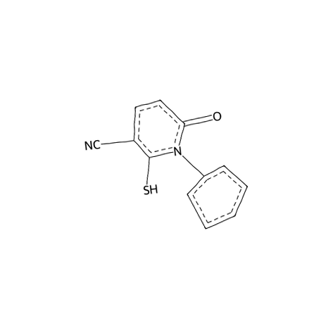 N#Cc1ccc(=O)n(-c2ccccc2)c1S